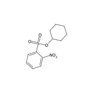 O=[N+]([O-])c1ccccc1S(=O)(=O)OC1CCCCC1